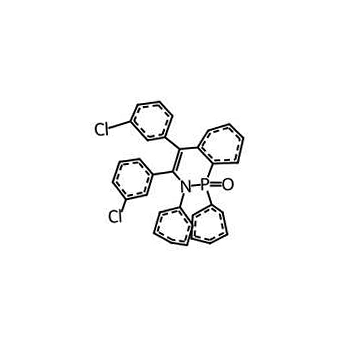 O=P1(c2ccccc2)c2ccccc2C(c2cccc(Cl)c2)=C(c2cccc(Cl)c2)N1c1ccccc1